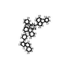 N#Cc1ccc(-c2ccc(-c3cccc4c3ccc3ccccc34)cc2)c(-c2ccccc2-c2nc(-c3ccccc3)nc(-c3ccc4c5c(cccc35)-c3ccccc3-4)n2)c1